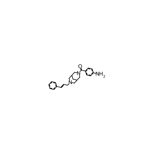 Nc1ccc(C(=O)N2CC3CC(CN(CC=Cc4ccccc4)C3)C2)cc1